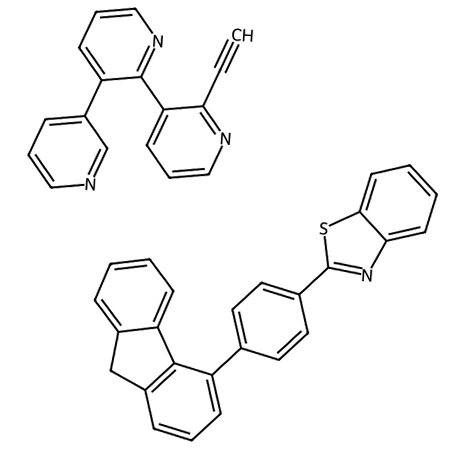 C#Cc1ncccc1-c1ncccc1-c1cccnc1.c1ccc2c(c1)Cc1cccc(-c3ccc(-c4nc5ccccc5s4)cc3)c1-2